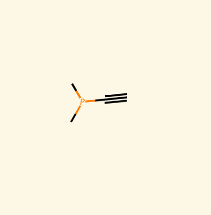 C#CP(C)C